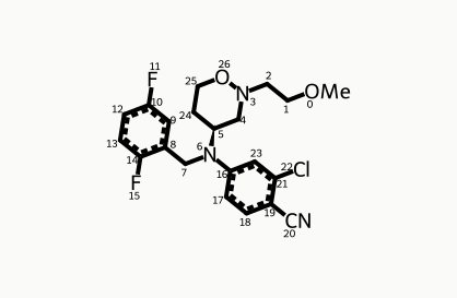 COCCN1C[C@@H](N(Cc2cc(F)ccc2F)c2ccc(C#N)c(Cl)c2)CCO1